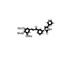 COc1cc(/C=C/C(=O)c2cccc(-n3cc(-c4cccnc4)[nH]c3=O)c2)cc(OC)c1OC